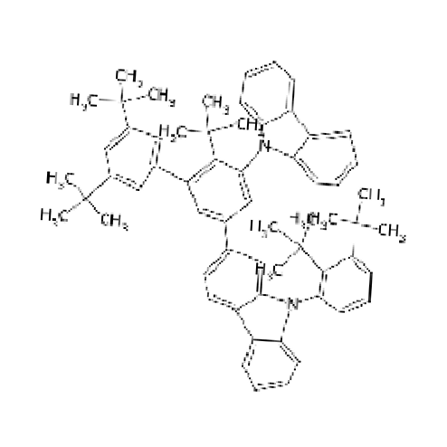 CC(C)(C)c1cc(-c2cc(-c3ccc4c5ccccc5n(-c5cccc(C(C)(C)C)c5C(C)(C)C)c4c3)cc(-n3c4ccccc4c4ccccc43)c2C(C)(C)C)cc(C(C)(C)C)c1